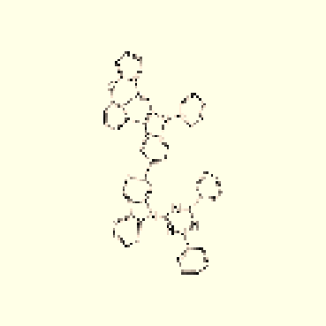 c1ccc(-c2nc(-c3ccccc3)nc(-n3c4ccccc4c4ccc(-c5ccc6c(c5)c5c7cccc8c7c(cc5n6-c5ccccc5)-c5ccccc5S8)cc43)n2)cc1